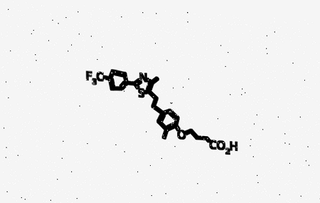 Cc1cc(CCc2sc(-c3ccc(C(F)(F)F)cc3)nc2C)ccc1OCCCC(=O)O